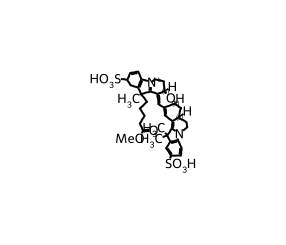 COC(=O)CCCCC1(C)C2=C(C=CC(S(=O)(=O)O)C2)[N+]2=C1C1=CC3=CC4=C5N(CC[C@H]4C[C@H]3O[C@H]1CC2)c1ccc(S(=O)(=O)O)cc1C5(C)C